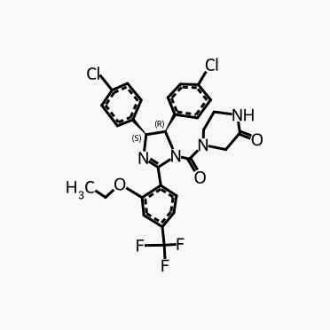 CCOc1cc(C(F)(F)F)ccc1C1=N[C@@H](c2ccc(Cl)cc2)[C@@H](c2ccc(Cl)cc2)N1C(=O)N1CCNC(=O)C1